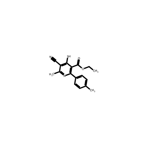 CCOC(=O)c1c(-c2ccc(C)cc2)nc(C)c(C#N)c1S